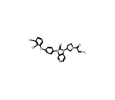 C=CC(=O)N1CCC(n2c(=O)n(-c3ccc(Oc4cccc(Cl)c4Cl)cc3)c3cnccc32)C1